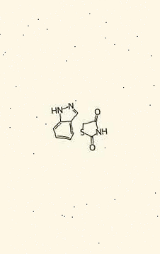 O=C1CSC(=O)N1.c1ccc2[nH]ncc2c1